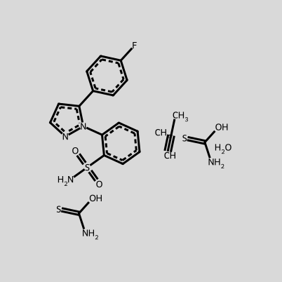 C.C#CC.NC(O)=S.NC(O)=S.NS(=O)(=O)c1ccccc1-n1nccc1-c1ccc(F)cc1.O